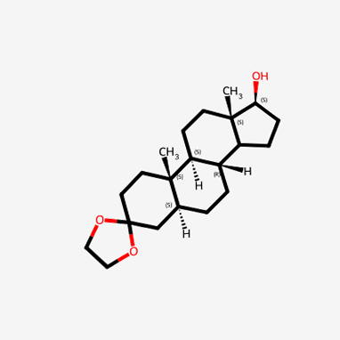 C[C@]12CCC3(C[C@@H]1CC[C@H]1C4CC[C@H](O)[C@@]4(C)CC[C@@H]12)OCCO3